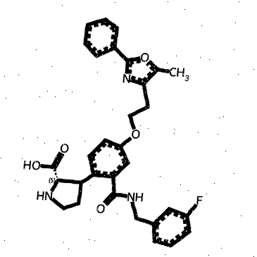 Cc1oc(-c2ccccc2)nc1CCOc1ccc(C2CCN[C@@H]2C(=O)O)c(C(=O)NCc2cccc(F)c2)c1